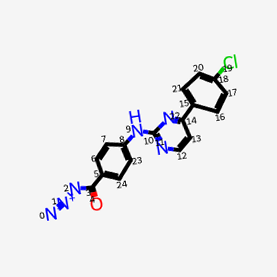 [N-]=[N+]=NC(=O)c1ccc(Nc2nccc(-c3ccc(Cl)cc3)n2)cc1